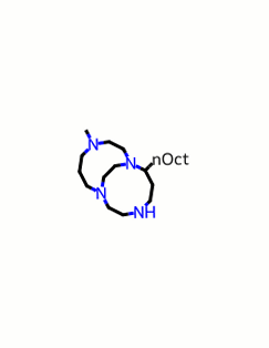 CCCCCCCCC1CCNCCN2CCCN(C)CCN1CC2